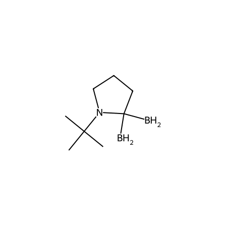 BC1(B)CCCN1C(C)(C)C